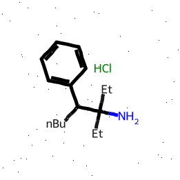 CCCCC(c1ccccc1)C(N)(CC)CC.Cl